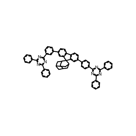 c1ccc(-c2nc(-c3ccccc3)nc(-c3ccc(-c4ccc5c(c4)C4(c6cc(-c7cccc(-c8nc(-c9ccccc9)nc(-c9ccccc9)n8)c7)ccc6-5)C5CC6CC(C5)CC4C6)cc3)n2)cc1